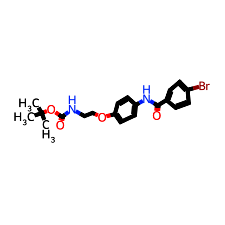 CC(C)(C)OC(=O)NCCOc1ccc(NC(=O)c2ccc(Br)cc2)cc1